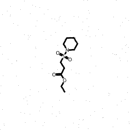 CCOC(=O)CCS(=O)(=O)N1CC[CH]CC1